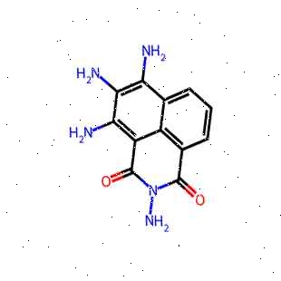 Nc1c(N)c2c3c(cccc3c1N)C(=O)N(N)C2=O